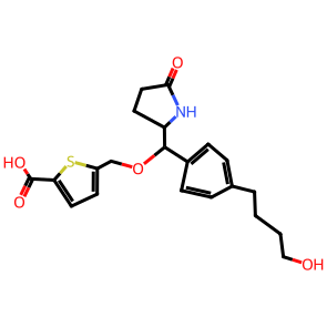 O=C1CCC(C(OCc2ccc(C(=O)O)s2)c2ccc(CCCCO)cc2)N1